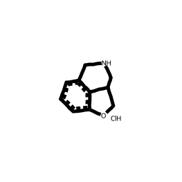 Cl.c1cc2c3c(c1)OCC3CNC2